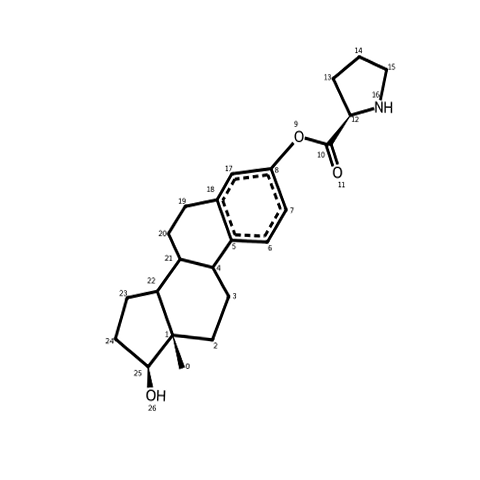 C[C@]12CCC3c4ccc(OC(=O)[C@H]5CCCN5)cc4CCC3C1CC[C@@H]2O